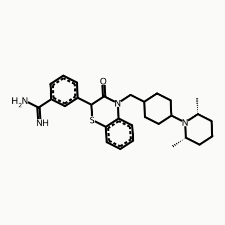 C[C@@H]1CCC[C@H](C)N1C1CCC(CN2C(=O)C(c3cccc(C(=N)N)c3)Sc3ccccc32)CC1